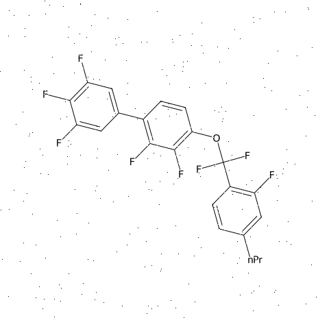 CCCc1ccc(C(F)(F)Oc2ccc(-c3cc(F)c(F)c(F)c3)c(F)c2F)c(F)c1